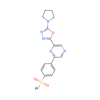 CC(C)S(=O)(=O)c1ccc(-c2cncc(-c3nnc(N4CCCC4)o3)n2)cc1